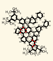 CC(C)(C)c1cc(-c2cc3c4c(c2)N(c2ccccc2)c2cc5c(cc2B4c2ccc(-c4ccccc4)cc2S3)B2c3ccc(-c4ccccc4)cc3Sc3cc(-c4cc(C(C)(C)C)cc(C(C)(C)C)c4)cc(c32)N5c2c(-c3ccccc3)cccc2-c2ccccc2)cc(C(C)(C)C)c1